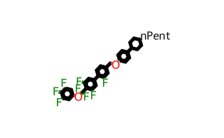 CCCCCC1CCC(c2ccc(OCc3ccc(-c4cc(F)c(C(F)(F)Oc5cc(F)c(F)c(F)c5)c(F)c4)c(F)c3)cc2)CC1